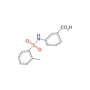 Cc1ccccc1S(=O)(=O)Nc1cccc(C(=O)O)c1